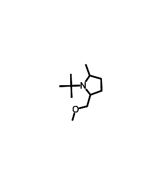 COCC1CCC(C)N1C(C)(C)C